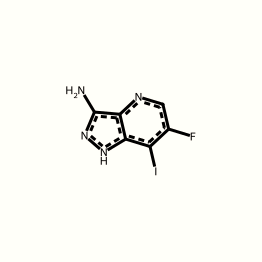 Nc1n[nH]c2c(I)c(F)cnc12